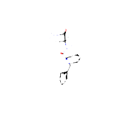 CCC(CC)(NC(=O)c1cccc(-c2cccc(Cl)c2)n1)C(=O)N(C)C